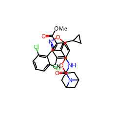 COC(=O)c1ccc(NC(=O)N2C3CC(OCc4c(-c5c(Cl)cccc5Cl)noc4C4CC4)CC2C3)c(C#N)c1